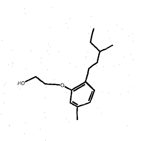 CCC(C)CCc1ccc(C)cc1OCCO